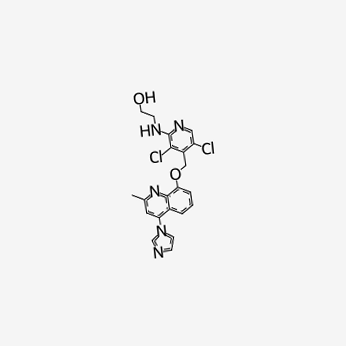 Cc1cc(-n2ccnc2)c2cccc(OCc3c(Cl)cnc(NCCO)c3Cl)c2n1